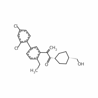 C=C(c1cc(-c2ccc(Cl)cc2Cl)ccc1CC)C(=O)[C@H]1CC[C@@H](CO)CC1